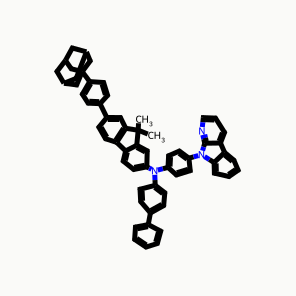 CC1(C)c2cc(-c3ccc(C45CC6CC(CC(C6)C4)C5)cc3)ccc2-c2ccc(N(c3ccc(-c4ccccc4)cc3)c3ccc(-n4c5ccccc5c5cccnc54)cc3)cc21